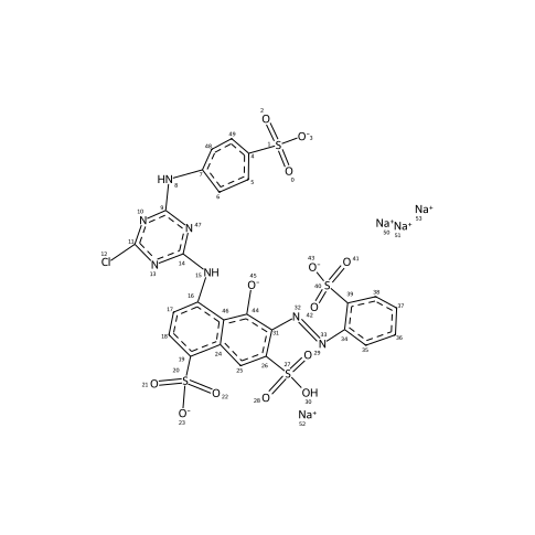 O=S(=O)([O-])c1ccc(Nc2nc(Cl)nc(Nc3ccc(S(=O)(=O)[O-])c4cc(S(=O)(=O)O)c(N=Nc5ccccc5S(=O)(=O)[O-])c([O-])c34)n2)cc1.[Na+].[Na+].[Na+].[Na+]